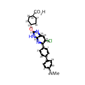 CNc1ccc(-c2ccc(-c3nc4[nH]c(O[C@H]5CC[C@H](C(=O)O)CC5)nc4cc3Cl)cc2)cc1